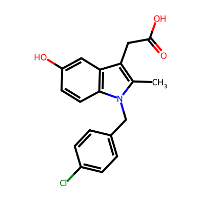 Cc1c(CC(=O)O)c2cc(O)ccc2n1Cc1ccc(Cl)cc1